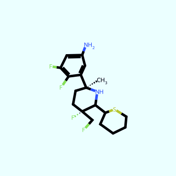 C[C@@]1(c2cc(N)cc(F)c2F)CC[C@](F)(CF)C(C2CCCCS2)N1